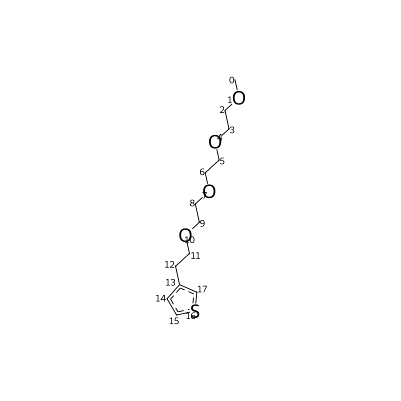 COCCOCCOCCOCCc1ccsc1